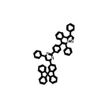 c1ccc(-c2cc(-c3ccc4c(c3)C3(c5ccccc5-c5ccccc53)c3ccccc3-4)nc(-c3ccc(-c4c(-c5ccccc5)n5ncc(-c6ccccc6)c5c5ccccc45)cc3)n2)cc1